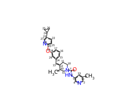 Cc1cncc(NC(=O)N2CCC(=Cc3cccc(Oc4ccc(C5CC5)cn4)c3)C(C)C2)c1